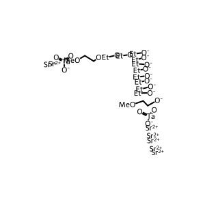 CC[O-].CC[O-].CC[O-].CC[O-].CC[O-].CC[O-].CC[O-].CC[O-].CC[O-].CC[O-].COCC[O-].COCC[O-].[O]=[Ta](=[O])[O-].[O]=[Ta](=[O])[O-].[Sr+2].[Sr+2].[Sr+2].[Sr+2].[Sr+2].[Sr+2].[Sr+2]